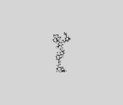 Cc1c(COc2cc(OCc3cncc(C#N)c3)c(CN3CCCC[C@H]3C(=O)O)cc2Cl)cccc1-c1cccc(OCCCN2CCCC3(CCNC3)C2)c1C